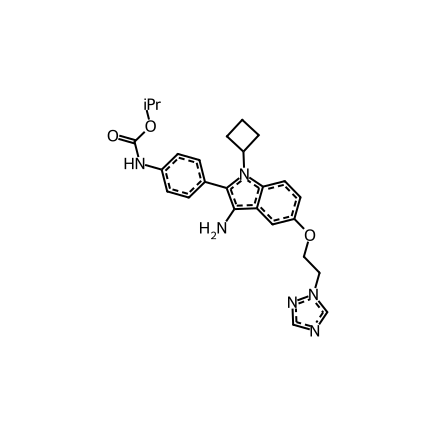 CC(C)OC(=O)Nc1ccc(-c2c(N)c3cc(OCCn4cncn4)ccc3n2C2CCC2)cc1